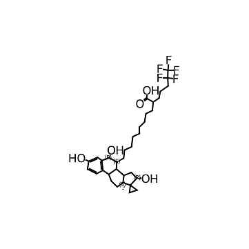 C[C@]12CCC3c4ccc(O)cc4[C@H](O)[C@@H](CCCCCCCCCC(CCCC(F)(F)C(F)(F)F)C(=O)O)C3C1C[C@@H](O)C21CC1